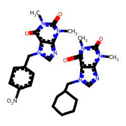 Cn1c(=O)c2c(ncn2CC2CCCCC2)n(C)c1=O.Cn1c(=O)c2c(ncn2Cc2ccc([N+](=O)[O-])cc2)n(C)c1=O